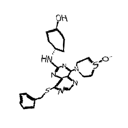 [O-][S+]1CCN(c2nc(N[C@H]3CC[C@H](O)CC3)nc3c(SCc4ccccc4)ncnc23)CC1